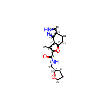 Cc1c(C(=O)NC[C@H]2CCCO2)oc2c1-c1n[nH]cc1CC2